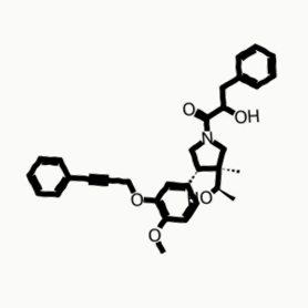 COc1ccc([C@@H]2CN(C(=O)C(O)Cc3ccccc3)C[C@@]2(C)[C@@H](C)O)cc1OCC#Cc1ccccc1